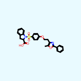 Cc1oc(-c2ccccc2)nc1CCOc1ccc(S(=O)(=O)N2c3ccccc3CC2C(=O)O)cc1